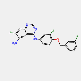 Nc1cc2c(Nc3ccc(OCc4cccc(F)c4)c(Cl)c3)ncnc2cc1F